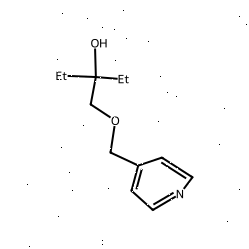 CCC(O)(CC)COCc1ccncc1